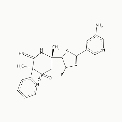 C[C@@]1(C2SC(c3cncc(N)c3)=CC2F)CS(=O)(=O)[C@@](C)(c2ccccn2)C(=N)N1